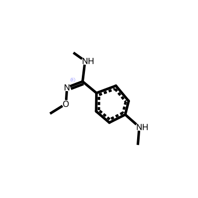 CN/C(=N/OC)c1ccc(NC)cc1